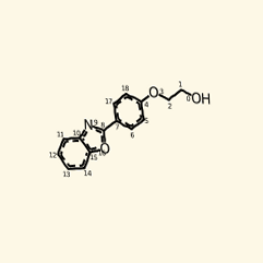 OCCOc1ccc(-c2nc3ccccc3o2)cc1